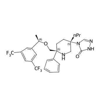 CCC[C@]1(n2cn[nH]c2=O)CC[C@@](CO[C@H](C)c2cc(C(F)(F)F)cc(C(F)(F)F)c2)(c2ccccc2)NC1